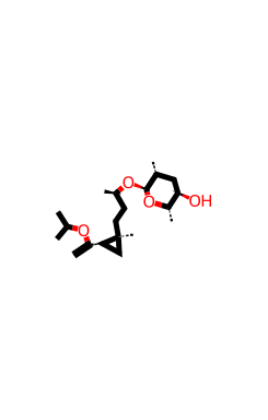 C=C(OC(C)C)[C@H]1C[C@]1(C)CC[C@@H](C)O[C@@H]1O[C@@H](C)[C@H](O)C[C@H]1C